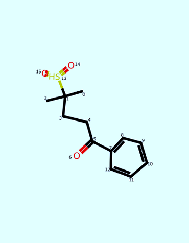 CC(C)(CCC(=O)c1ccccc1)[SH](=O)=O